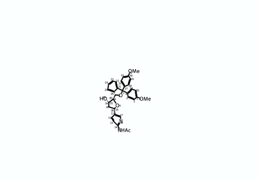 COc1ccc(C(OC[C@H]2O[C@@H](c3ccc(NC(C)=O)nc3)C[C@@H]2O)(c2ccccc2)c2ccc(OC)cc2)cc1